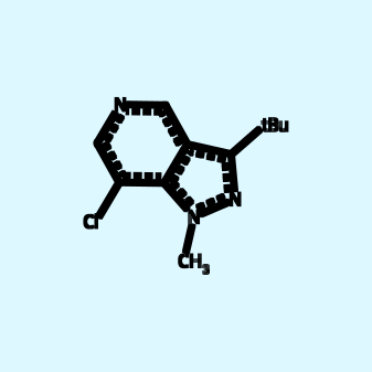 Cn1nc(C(C)(C)C)c2cncc(Cl)c21